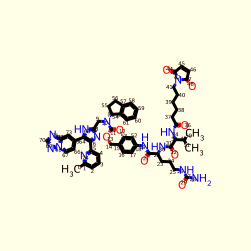 Cc1cccc(-c2nc(CN(C(=O)OCc3ccc(NC(=O)C(CCCNC(N)=O)NC(=O)C(NC(=O)CCCCCN4C(=O)C=CC4=O)C(C)C)cc3)[C@@H]3CCc4ccccc43)[nH]c2-c2ccn3ncnc3c2)n1